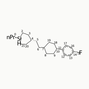 CCC[Si@H]1CC[C@H](CCC2CCC(c3ccc(F)cc3)CC2)CC1